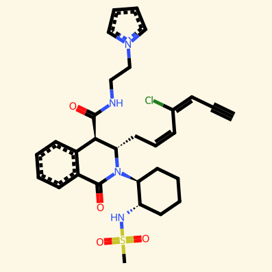 C#C/C=C(Cl)\C=C/C[C@H]1[C@H](C(=O)NCCn2cccc2)c2ccccc2C(=O)N1[C@H]1CCCC[C@@H]1NS(C)(=O)=O